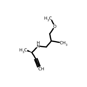 C#C[C@@H](C)NCC(C)COC